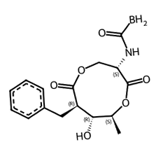 BC(=O)N[C@H]1COC(=O)[C@H](Cc2ccccc2)[C@@H](O)[C@H](C)OC1=O